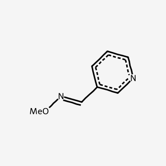 CON=Cc1cccnc1